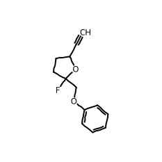 C#CC1CCC(F)(COc2ccccc2)O1